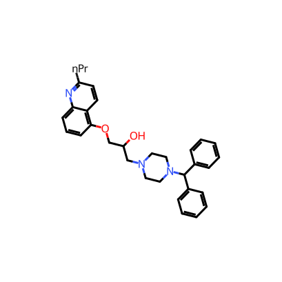 CCCc1ccc2c(OCC(O)CN3CCN(C(c4ccccc4)c4ccccc4)CC3)cccc2n1